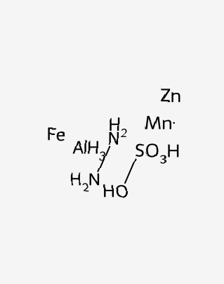 NN.O=S(=O)(O)O.[AlH3].[Fe].[Mn].[Zn]